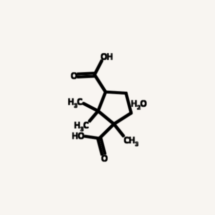 CC1(C(=O)O)CCC(C(=O)O)C1(C)C.O